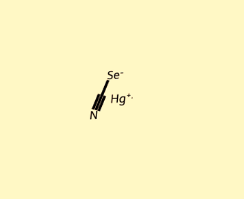 N#C[Se-].[Hg+]